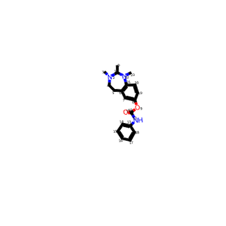 CC1N(C)CCc2cc(OC(=O)Nc3ccccc3)ccc2N1C